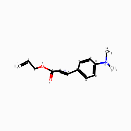 C=CCOC(=O)/C=C/c1ccc(N(C)C)cc1